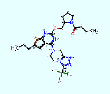 CCCC(=O)N1CCCC1COc1nc(N2CCn3c(nnc3C(F)(F)F)C2)c2cc(CCC)sc2n1